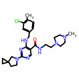 Cc1ccc(CNc2nc(N3CCC4(CC4)C3)ncc2C(=O)NCCN2CCN(C)CC2)cc1Cl